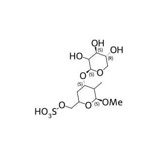 CO[C@H]1OC(COS(=O)(=O)O)C[C@H](O[C@@H]2OC[C@@H](O)[C@H](O)C2O)C1C